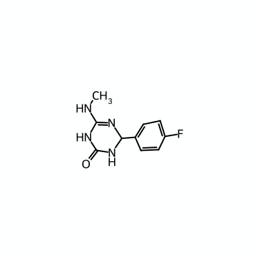 CNC1=NC(c2ccc(F)cc2)NC(=O)N1